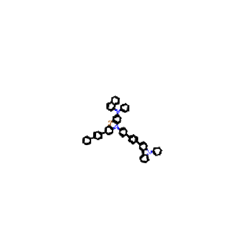 c1ccc(-c2ccc(-c3ccc4c(c3)Sc3cc(N(c5ccccc5)c5cccc6ccccc56)ccc3N4c3ccc(-c4ccc(-c5ccc6c(c5)c5ccccc5n6-c5ccccc5)cc4)cc3)cc2)cc1